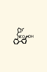 CN1CCC(CN(C(=O)O)c2ccccc2-c2cccc(CO)c2)C1